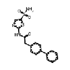 NS(=O)(=O)c1cnc(NC(=O)Cc2ccc(-c3ccccc3)cc2)s1